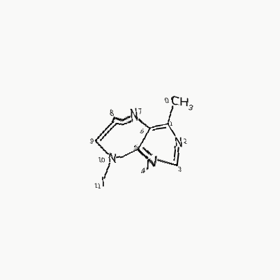 Cc1ncnc2c1N=C=CN2I